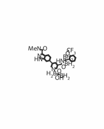 BC(B)(O)Oc1ncc(-c2ccc3c(C(=O)NC)n[nH]c3c2)cc1C(=O)NC(B)(B)c1ccccc1OC(F)(F)F